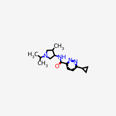 CC1CN(C(C)C)CC1NC(=O)c1ccc(C2CC2)nn1